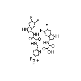 O=C(NCc1ccc(C(F)(F)F)cn1)C(=O)Nc1c[nH]c2cc(F)c(F)cc12.O=C(O)C(=O)Nc1c[nH]c2cc(F)c(F)cc12